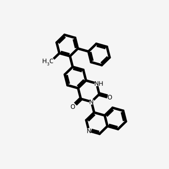 Cc1cccc(-c2ccccc2)c1-c1ccc2c(=O)n(-c3cncc4ccccc34)c(=O)[nH]c2c1